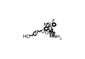 COc1cc2c(N(c3cccc(F)c3)c3cc(CC(N)=O)[nH]n3)ncnc2cc1OCCCN1CCC(CCO)CC1